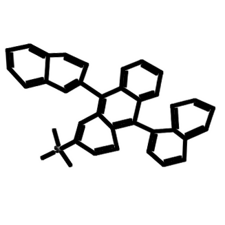 C[Si](C)(C)c1ccc2c(-c3cccc4ccccc34)c3ccccc3c(-c3ccc4ccccc4c3)c2c1